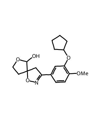 COc1ccc(C2=NOC3(CCOC3O)C2)cc1OC1CCCC1